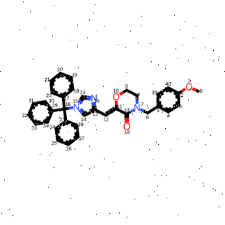 COc1ccc(CN2CCOC(=Cc3cn(C(c4ccccc4)(c4ccccc4)c4ccccc4)cn3)C2=O)cc1